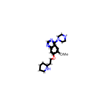 COc1cc2c(N3CC[N]CC3)ncnc2cc1OCCC1CCCCN1